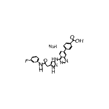 O=C(Cc1cc(Nc2ncnc3cc(-c4ccc(C(=O)O)cc4)ccc23)n[nH]1)Nc1cccc(F)c1.[NaH]